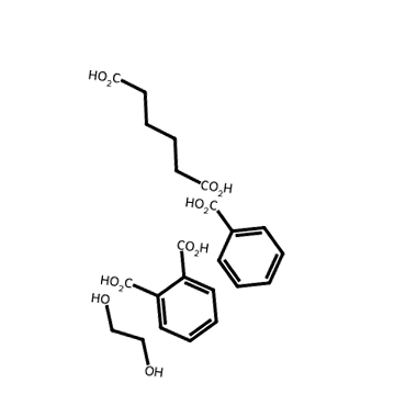 O=C(O)CCCCC(=O)O.O=C(O)c1ccccc1.O=C(O)c1ccccc1C(=O)O.OCCO